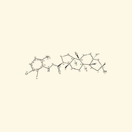 C[C@@]1(O)CC[C@@]2(C)[C@@H](CC[C@@H]3[C@@H]2CC[C@]2(C)[C@@H](C(=O)CNc4c(N)ccc(Cl)c4F)CC[C@@H]32)C1